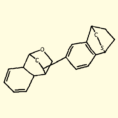 C1=CC2C3CC(c4ccc5c(c4)C4CCC5SC4)C(CO3)C2C=C1